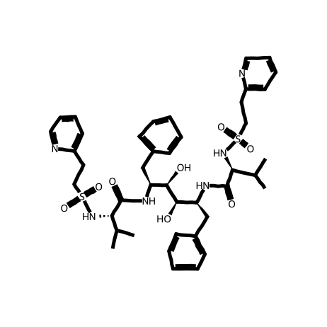 CC(C)[C@H](NS(=O)(=O)CCc1ccccn1)C(=O)N[C@@H](Cc1ccccc1)[C@@H](O)[C@H](O)[C@H](Cc1ccccc1)NC(=O)[C@@H](NS(=O)(=O)CCc1ccccn1)C(C)C